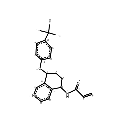 C=CC(=O)NC1CCC(Oc2ccc(C(F)(F)F)cc2)c2cnccc21